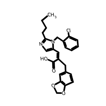 CCCCc1ncc(C=C(Cc2ccc3c(c2)OCO3)C(=O)O)n1Cc1ccccc1Cl